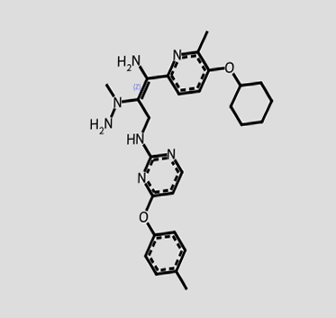 Cc1ccc(Oc2ccnc(NC/C(=C(/N)c3ccc(OC4CCCCC4)c(C)n3)N(C)N)n2)cc1